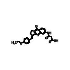 CCOc1ccc(/C=C2\CCn3c2nc2cc(NC(=O)CC(=O)O)ccc2c3=O)cc1